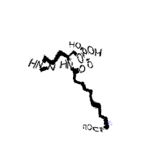 CCCCCCCC/C=C\CCCCCCCC(=O)N[C@H](COP(=O)(O)O)Cc1c[nH]cn1